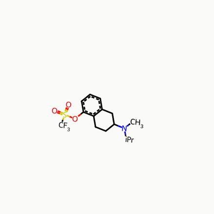 CC(C)N(C)C1CCc2c(cccc2OS(=O)(=O)C(F)(F)F)C1